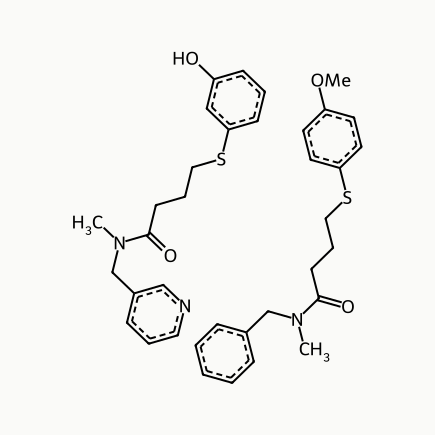 CN(Cc1cccnc1)C(=O)CCCSc1cccc(O)c1.COc1ccc(SCCCC(=O)N(C)Cc2ccccc2)cc1